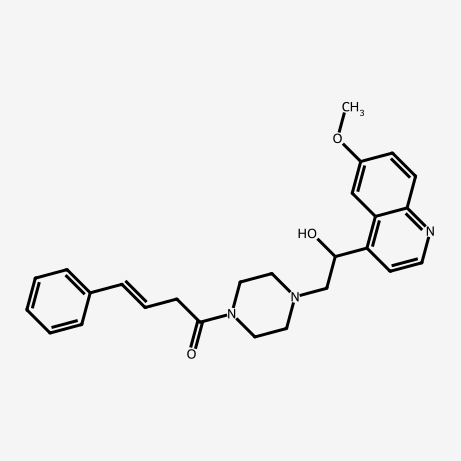 COc1ccc2nccc(C(O)CN3CCN(C(=O)CC=Cc4ccccc4)CC3)c2c1